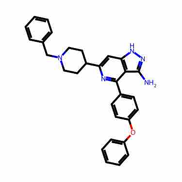 Nc1n[nH]c2cc(C3CCN(Cc4ccccc4)CC3)nc(-c3ccc(Oc4ccccc4)cc3)c12